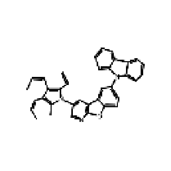 C=Cc1c(/C=C\C)c(/C=C\C)c(C)n1-c1cnc2oc3ccc(-n4c5ccccc5c5ccccc54)cc3c2c1